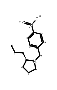 CCC[C@@H]1CCCN1Cc1ccc([N+](=O)[O-])cc1